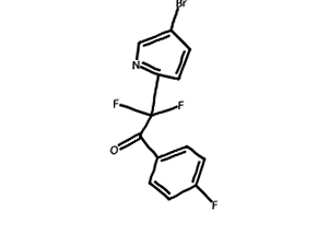 O=C(c1ccc(F)cc1)C(F)(F)c1ccc(Br)cn1